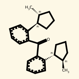 C[C@@H]1CCC[C@H]1c1ccccc1C(=O)c1ccccc1[C@@H]1CCC[C@H]1C